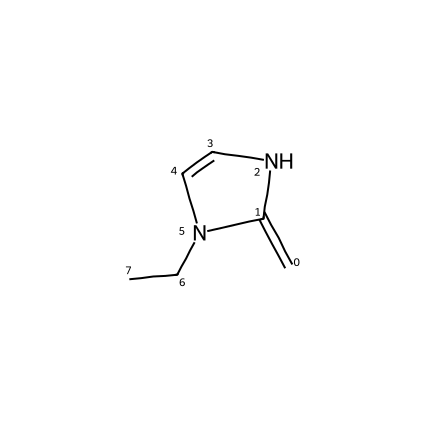 C=C1NC=CN1CC